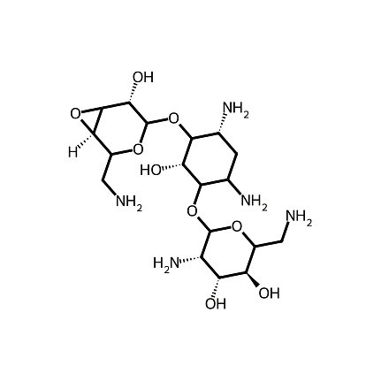 NCC1OC(OC2[C@@H](O)C(OC3OC(CN)[C@@H](O)[C@H](O)[C@@H]3N)C(N)C[C@H]2N)[C@@H](O)C2O[C@H]12